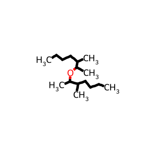 CCCCC(C)C(C)OC(C)C(C)CCCC